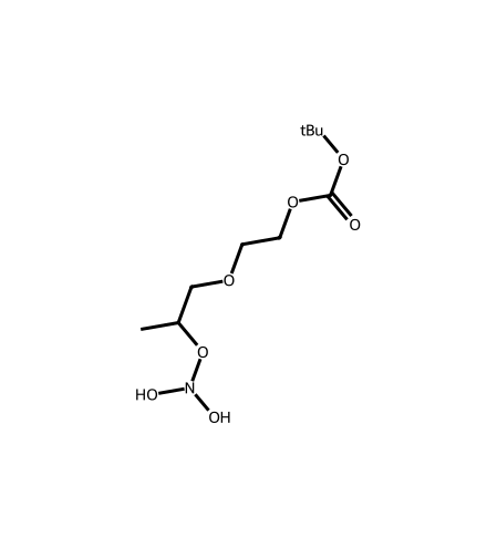 CC(COCCOC(=O)OC(C)(C)C)ON(O)O